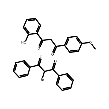 COc1ccc(C(=O)CC(=O)c2ccccc2O)cc1.O=C(c1ccccc1)C(Br)C(=O)c1ccccc1